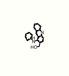 OCc1ccc2nc3ccccc3cc2c1Nc1ccccc1